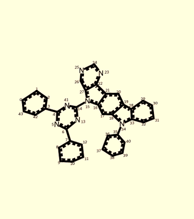 c1ccc(-c2nc(-c3ccccc3)nc(-n3c4cc5c(cc4c4ncncc43)c3ccccc3n5-c3ccccc3)n2)cc1